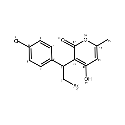 CC(=O)CC(c1ccc(Cl)cc1)c1c(O)cc(C)oc1=O